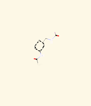 CNC(=O)Nc1cccc(CNC(=O)I)c1